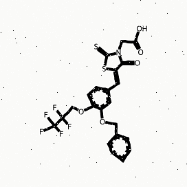 O=C(O)CN1C(=O)/C(=C/c2ccc(OCC(F)(F)C(F)(F)F)c(OCc3ccccc3)c2)SC1=S